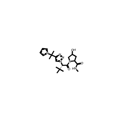 CNC(=O)C1CC(O)CN1C(=O)[C@@H](n1cc(C(C)(C)n2cccc2)nn1)C(C)(C)C